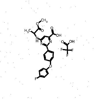 COC(=O)C(C)Nc1cc(C(=O)O)nc(-c2ccc(Oc3ccc(F)cc3)cc2)n1.O=C(O)C(F)(F)F